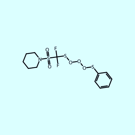 O=S(=O)(N1CCCCC1)C(F)(F)SOOOSc1ccccc1